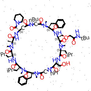 CCCCN1CC(=O)N(C)[C@@H](Cc2ccccc2)C(=O)N[C@@H](COCC(=O)NC(C)(C)C)C(=O)N(C)[C@@H](CC(C)C)C(=O)N[C@@H]([C@@H](C)O)C(=O)N(CCC)CC(=O)N(C)[C@@H](Cc2ccccc2)C(=O)N(C)[C@@H](CC(C)C)C(=O)N[C@@H](CC(C)C)C(=O)N(C)[C@@H](C)C(=O)N[C@H](C(=O)N2CCCCC2)CC1=O